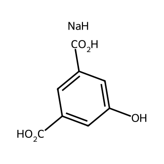 O=C(O)c1cc(O)cc(C(=O)O)c1.[NaH]